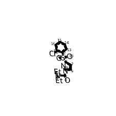 CCN(CC)C(=O)n1ccc(S(=O)(=O)c2ccccc2Cl)n1